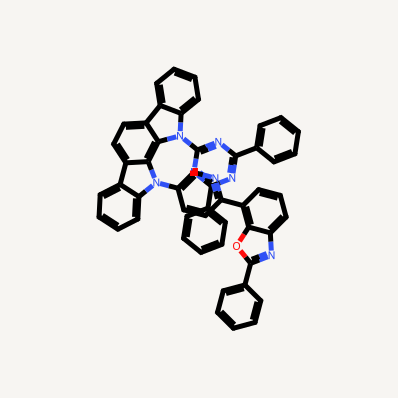 c1ccc(-c2nc(-c3ccccc3)nc(-n3c4ccccc4c4ccc5c6ccccc6n(-c6ccc(-c7cccc8nc(-c9ccccc9)oc78)nc6)c5c43)n2)cc1